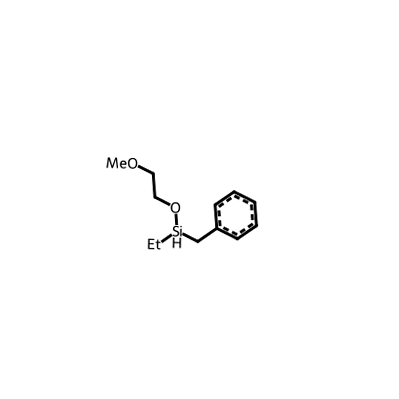 CC[SiH](Cc1ccccc1)OCCOC